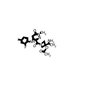 CC(=O)OC1(C(C)N)CN(C(=O)c2nn(C)c(=O)cc2Nc2ccc(I)cc2F)C1